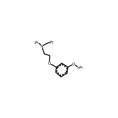 CCCOc1cccc(OCCN(C(C)C)C(C)C)c1